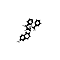 O=C(Nc1nc2c(nc1C(O)c1ccccc1)-c1ccc(O)cc1CC2)c1ccccc1